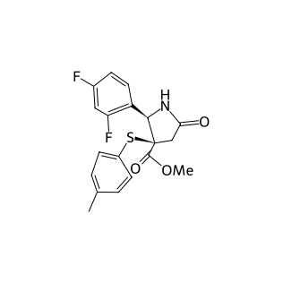 COC(=O)[C@@]1(Sc2ccc(C)cc2)CC(=O)N[C@@H]1c1ccc(F)cc1F